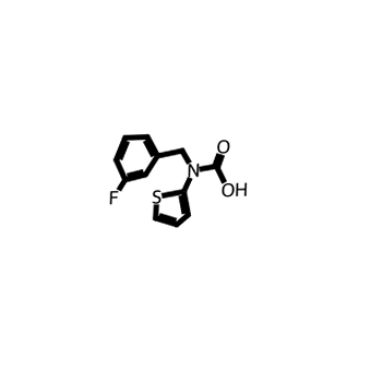 O=C(O)N(Cc1cccc(F)c1)c1cccs1